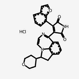 Cl.O=C1NC(=O)C(c2cccc3ccoc23)=C1C1=NC=CN2c3c(cccc31)CC2C1CCOCC1